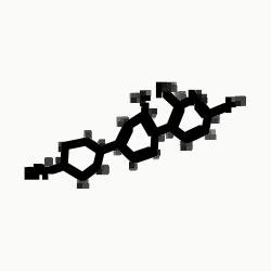 CCCC1CCC(c2ccc(-c3ccc(F)nc3F)c(F)c2)CC1